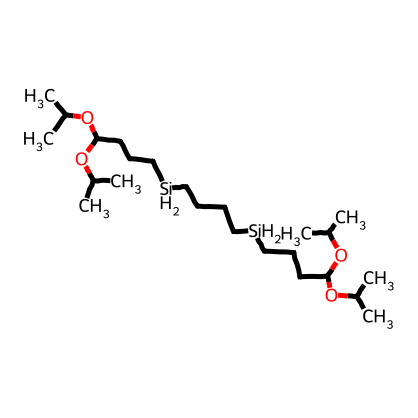 CC(C)OC(CCC[SiH2]CCCC[SiH2]CCCC(OC(C)C)OC(C)C)OC(C)C